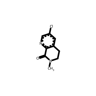 CN1CCc2cc(Cl)cnc2C1=O